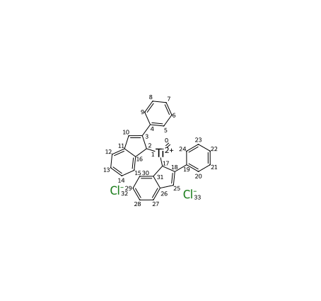 [CH2]=[Ti+2]([CH]1C(c2ccccc2)=Cc2ccccc21)[CH]1C(c2ccccc2)=Cc2ccccc21.[Cl-].[Cl-]